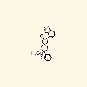 CN(C)[C@]1(c2ccccc2)CC[C@@]2(CC1)CC(=O)N(c1cccc3nsnc13)C2